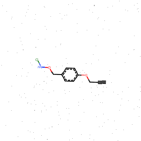 C#CCOc1ccc(CONCl)cc1